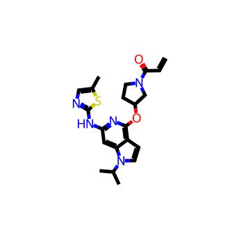 C=CC(=O)N1CCC(Oc2nc(Nc3ncc(C)s3)cc3c2ccn3C(C)C)C1